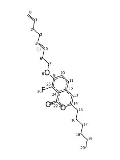 C=CCC/C=C/CCOc1ccc2cc(CCCCCC)oc(=O)c2c1F